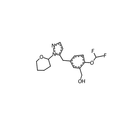 OCc1cc(Cc2ccnn2C2CCCCO2)ccc1OC(F)F